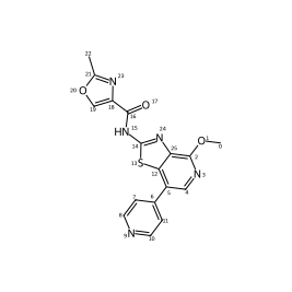 COc1ncc(-c2ccncc2)c2sc(NC(=O)c3coc(C)n3)nc12